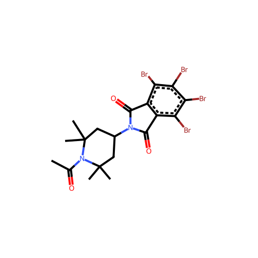 CC(=O)N1C(C)(C)CC(N2C(=O)c3c(Br)c(Br)c(Br)c(Br)c3C2=O)CC1(C)C